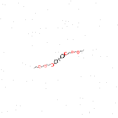 CCCOCCOCCCOc1ccc(C(C)(C)c2ccc(OCCCOCCOCCC)cc2)cc1